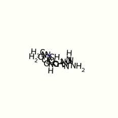 C=C(Cl)N(C)/N=C(/C)CS(=O)(=O)Nc1ccc(-c2cnc3c(N)n[nH]c3n2)cc1